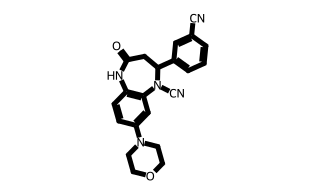 N#Cc1cccc(C2CC(=O)Nc3ccc(N4CCOCC4)cc3N2C#N)c1